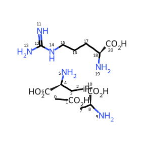 CC(=O)O.CC(C)C[C@H](N)C(=O)O.C[C@H](N)C(=O)O.N=C(N)NCCC[C@H](N)C(=O)O